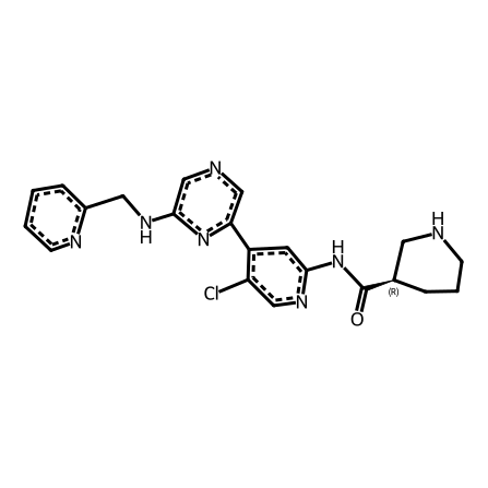 O=C(Nc1cc(-c2cncc(NCc3ccccn3)n2)c(Cl)cn1)[C@@H]1CCCNC1